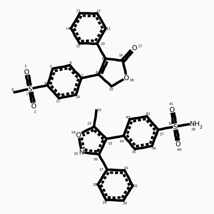 CS(=O)(=O)c1ccc(C2=C(c3ccccc3)C(=O)OC2)cc1.Cc1onc(-c2ccccc2)c1-c1ccc(S(N)(=O)=O)cc1